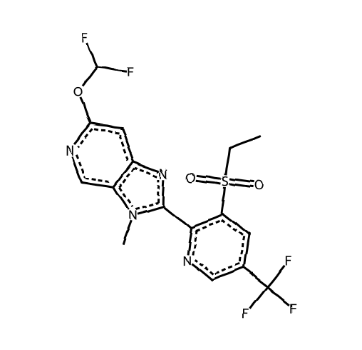 CCS(=O)(=O)c1cc(C(F)(F)F)cnc1-c1nc2cc(OC(F)F)ncc2n1C